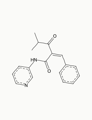 CC(C)C(=O)/C(=C/c1ccccc1)C(=O)Nc1cccnc1